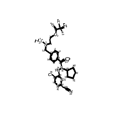 CN(CCOC(=O)C(F)(F)F)Cc1ccc(C(=O)N(Nc2nc(C#N)ncc2Cl)C2CCCC2)cc1